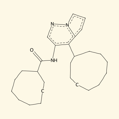 O=C(Nc1cnn2cccc2c1C1CCCCCCCCC1)C1CCCCCCCC1